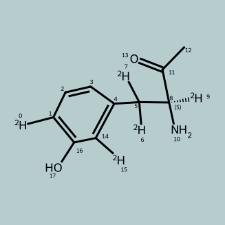 [2H]c1ccc(C([2H])([2H])[C@]([2H])(N)C(C)=O)c([2H])c1O